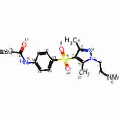 CNCCn1nc(C)c(S(=O)(=O)c2ccc(NC(=O)C(C)(C)C)cc2)c1C